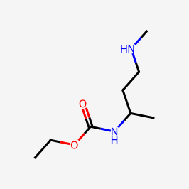 CCOC(=O)NC(C)CCNC